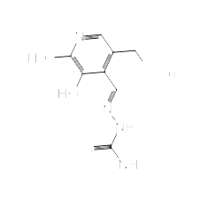 Cc1ncc(CO)c(C=NNC(N)=S)c1O.[Cu]